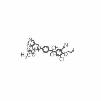 CC(C)(c1ccc(OCc2cncnc2NS(C)(=O)=O)cc1)c1cc(Cl)c(OCCI)c(C#N)c1